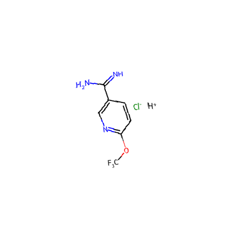 N=C(N)c1ccc(OC(F)(F)F)nc1.[Cl-].[H+]